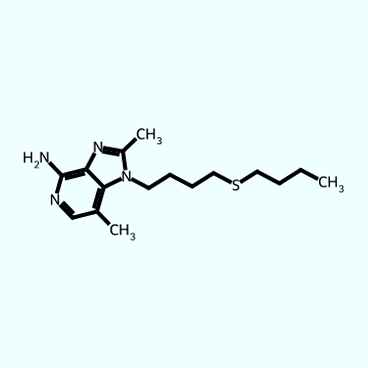 CCCCSCCCCn1c(C)nc2c(N)ncc(C)c21